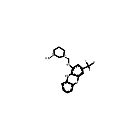 N[C@H]1CCC[C@@H](CNc2cc(C(F)(F)F)cc3c2Nc2ccccc2S3)C1